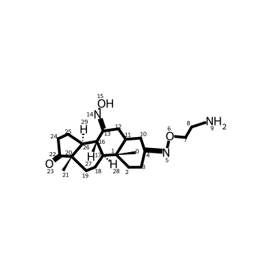 C[C@]12CC/C(=N/OCCN)CC1C/C(=N\O)[C@@H]1[C@@H]2CC[C@]2(C)C(=O)CC[C@@H]12